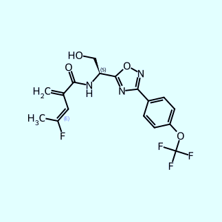 C=C(/C=C(\C)F)C(=O)N[C@@H](CO)c1nc(-c2ccc(OC(F)(F)F)cc2)no1